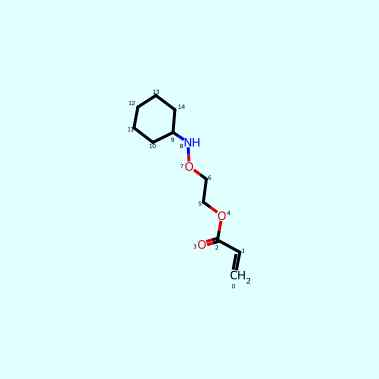 C=CC(=O)OCCONC1CCCCC1